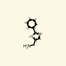 NCc1cnc(-c2ccccc2)s1